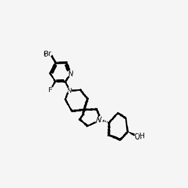 O[C@H]1CC[C@H](N2CCC3(CCN(c4ncc(Br)cc4F)CC3)C2)CC1